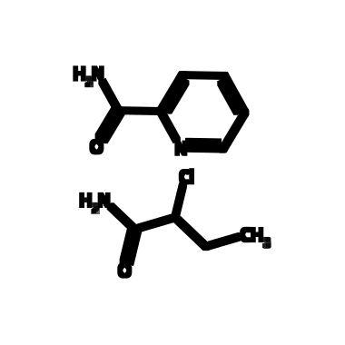 CCC(Cl)C(N)=O.NC(=O)c1ccccn1